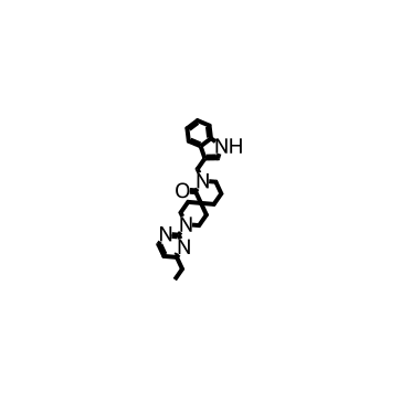 CCc1ccnc(N2CCC3(CCCN(Cc4c[nH]c5ccccc45)C3=O)CC2)n1